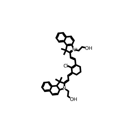 CC1(C)C(/C=C/C2=C(Cl)C(=C/C=C3/N(CCO)C4C=Cc5ccccc5C4C3(C)C)/CCC2)=[N+](CCO)c2ccc3ccccc3c21